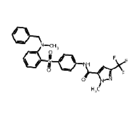 CN(Cc1ccccc1)c1ccccc1S(=O)(=O)c1ccc(NC(=O)c2cc(C(F)(F)F)nn2C)cc1